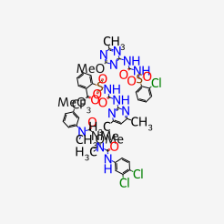 CNC(=O)N(C)c1cccc(C(F)(F)F)c1.COC(=O)c1ccccc1S(=O)(=O)NC(=O)Nc1nc(C)cc(C)n1.CON(C)C(=O)Nc1ccc(Cl)c(Cl)c1.COc1nc(C)nc(NC(=O)NS(=O)(=O)c2ccccc2Cl)n1